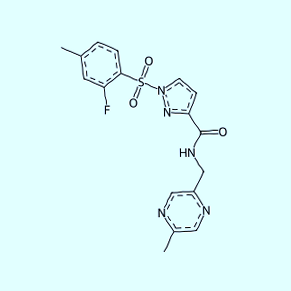 Cc1ccc(S(=O)(=O)n2ccc(C(=O)NCc3cnc(C)cn3)n2)c(F)c1